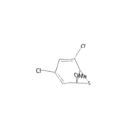 COC12C=C(Cl)C=C(Cl)C1S2